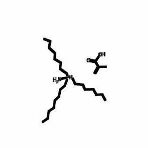 C=C(C)C(=O)O.CCCCCCCC[PH](N)(CCCCCCCC)CCCCCCCC